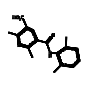 CCOC(=O)c1cc(C(=O)Nc2c(C)cccc2C)c(C)nc1C